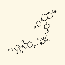 O=C1NC(O)CC[C@@H]1N1Cc2cc(OCCN3C[C@H]4C[C@@H]3CN4CCOc3ccc(C4c5ccc(O)cc5CCN4c4ccc(F)cc4)cc3)ccc2C1=O